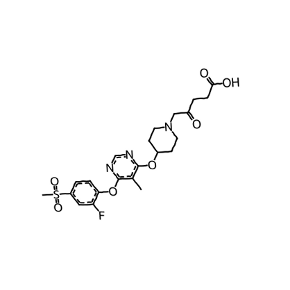 Cc1c(Oc2ccc(S(C)(=O)=O)cc2F)ncnc1OC1CCN(CC(=O)CCC(=O)O)CC1